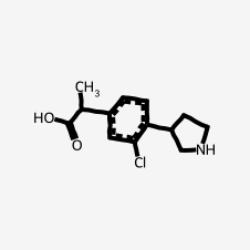 CC(C(=O)O)c1ccc(C2CCNC2)c(Cl)c1